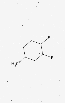 C[C@@H]1CCC(F)C(F)C1